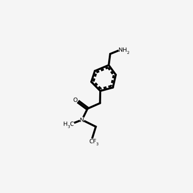 CN(CC(F)(F)F)C(=O)Cc1ccc(CN)cc1